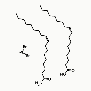 CCCCCCCC/C=C\CCCCCCCC(=O)O.CCCCCCCC/C=C\CCCCCCCC(N)=O.[Br][Pb][Br]